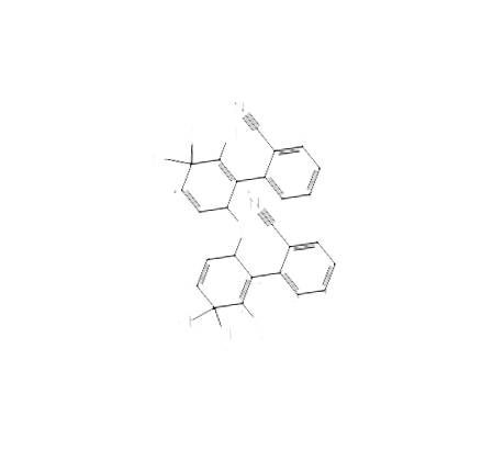 N#Cc1ccccc1C1=C(Cl)C(Cl)(Cl)C=CC1OC1C=CC(Cl)(Cl)C(Cl)=C1c1ccccc1C#N